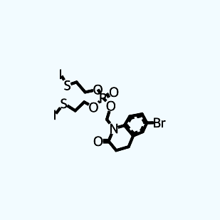 O=C1CCc2cc(Br)ccc2N1COP(=O)(OCCSI)OCCSI